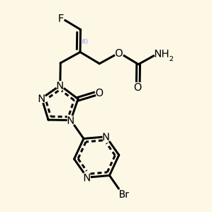 NC(=O)OC/C(=C/F)Cn1ncn(-c2cnc(Br)cn2)c1=O